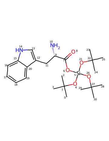 CC(C)(C)O[Si](OC(=O)[C@@H](N)Cc1c[nH]c2ccccc12)(OC(C)(C)C)OC(C)(C)C